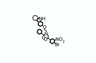 O=C(CN(CCOc1ccc2c3c([nH]c2c1)CCCC3)C(=O)c1ccccc1)c1ccc(Br)c([N+](=O)[O-])c1